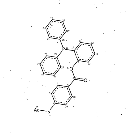 CC(=O)Sc1ccc(C(=O)Oc2ccccc2P(c2ccccc2)c2ccccc2)cc1